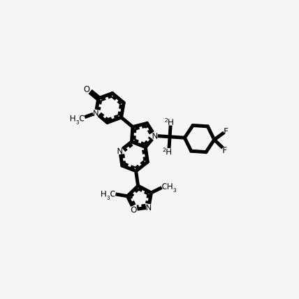 [2H]C([2H])(C1CCC(F)(F)CC1)n1cc(-c2ccc(=O)n(C)c2)c2ncc(-c3c(C)noc3C)cc21